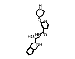 O=C(NC[C@@H](O)[C@@H]1Cc2ccccc2CN1)c1ccnc(OC2CCNCC2)c1